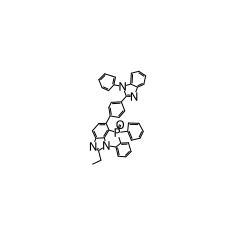 CCc1nc2ccc(-c3ccc(-c4nc5ccccc5n4-c4ccccc4)cc3)c3c2n1-c1ccccc1P3(=O)c1ccccc1